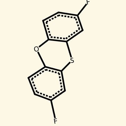 Fc1ccc2c(c1)Sc1cc(F)ccc1O2